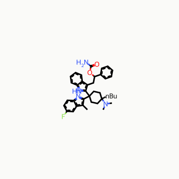 CCCCC1(N(C)C)CCC(c2[nH]c3ccc(F)cc3c2C)(c2[nH]c3ccccc3c2CC(OC(N)=O)c2ccccc2)CC1